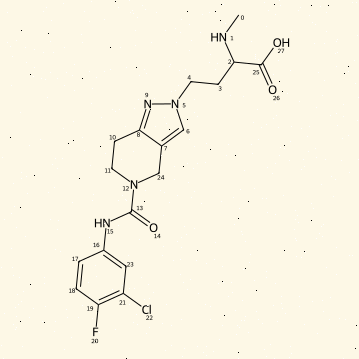 CNC(CCn1cc2c(n1)CCN(C(=O)Nc1ccc(F)c(Cl)c1)C2)C(=O)O